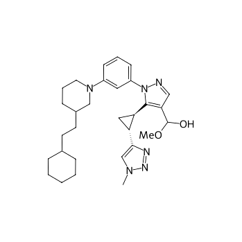 COC(O)c1cnn(-c2cccc(N3CCCC(CCC4CCCCC4)C3)c2)c1[C@@H]1C[C@H]1c1cn(C)nn1